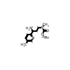 Cc1ccc(C(N)CCN(C)C(=O)OC(C)(C)C)nc1